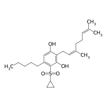 CCCCCc1cc(O)c(CC=C(C)CCC=C(C)C)c(O)c1S(=O)(=O)C1CC1